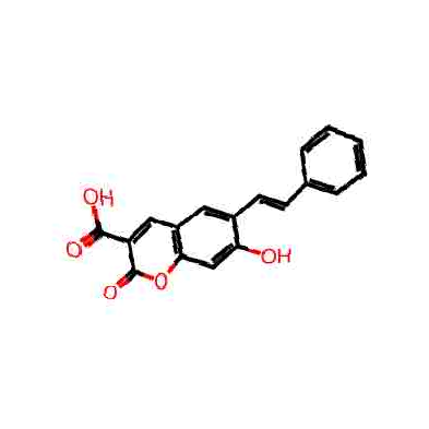 O=C(O)c1cc2cc(C=Cc3ccccc3)c(O)cc2oc1=O